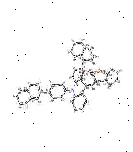 c1ccc(N(c2ccc(-c3ccc4ccccc4c3)cc2)c2ccc(-c3cccc4ccccc34)cc2)c(-c2ccc3sc4ccccc4c3c2)c1